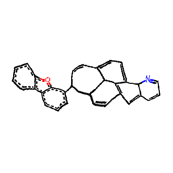 C1=CC2=CC3=C4C(=CC=C5C=CC(c6cccc7c6oc6ccccc67)C(C=C3)C54)C2N=C1